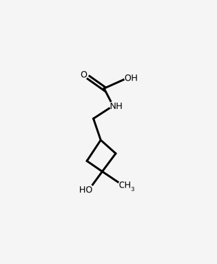 CC1(O)CC(CNC(=O)O)C1